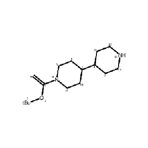 C=C(OC(C)(C)C)N1CCC(C2CCNCC2)CC1